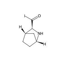 O=C(I)[C@H]1N[C@@H]2CC[C@H]1C2